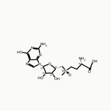 C[SH](=O)(CC[C@H](N)C(=O)O)C[C@H]1O[C@@H](n2cnc3c(O)nc(N)nc32)[C@H](O)[C@@H]1O